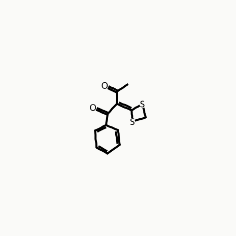 CC(=O)C(C(=O)c1ccccc1)=C1SCS1